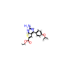 CCOC(=O)c1cc2c(-c3ccc(OC(C)C)cc3)nc(N)nc2s1